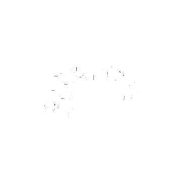 CC(C)(CO)CN1CC2C(CNC(=O)c3cc(CI)c(N)c4c3OCCC4)C2C1